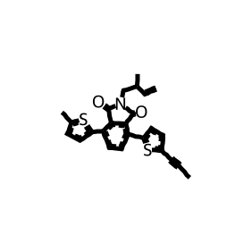 C=CC(C)CN1C(=O)c2c(-c3ccc(C)s3)ccc(-c3ccc(C#CC)s3)c2C1=O